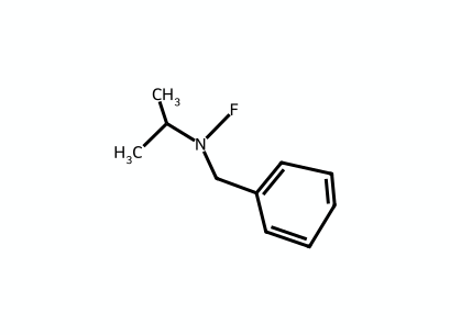 CC(C)N(F)Cc1ccccc1